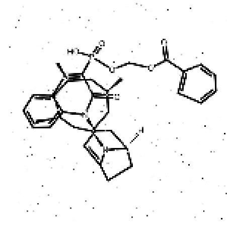 C[C@H]1C[C@@H](C)C[C@@H](N2C3=C[C@@H](n4c(=O)c(P(=O)(O)OCOC(=O)c5ccccc5)nc5ccccc54)C[C@H]2CC3)C[C@@H](C)C1